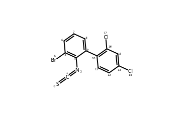 S=C=Nc1c(Br)cccc1-c1ccc(Cl)cc1Cl